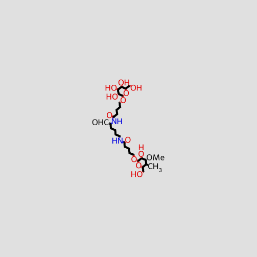 COC1C(C)C(CO)OC(OCCCCC(=O)NCCCCC(C=O)NC(=O)CCCCOC2OC(CO)C(O)C(O)C2O)C1O